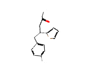 COC(=O)CC(Cc1ccc(OC)cc1)c1cccs1